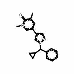 Cc1cc(-c2cnn(C(c3ccccc3)C3CC3)c2)cn(C)c1=O